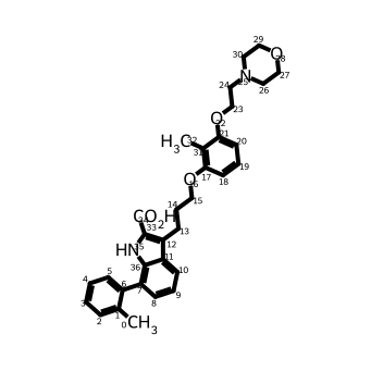 Cc1ccccc1-c1cccc2c(CCCOc3cccc(OCCN4CCOCC4)c3C)c(C(=O)O)[nH]c12